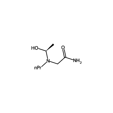 CCCN(CC(N)=O)[C@H](C)O